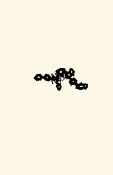 c1ccc(-c2ccc(-c3nc(-c4ccccc4)nc(-c4cccc5c4sc4cc(-c6ccc(-c7ccc8ccccc8c7)cc6)c6ccccc6c45)n3)cc2)cc1